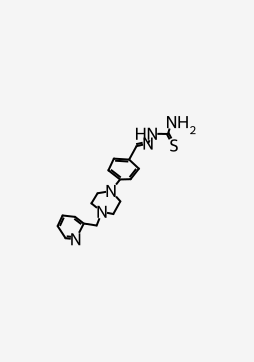 NC(=S)NN=Cc1ccc(N2CCN(Cc3ccccn3)CC2)cc1